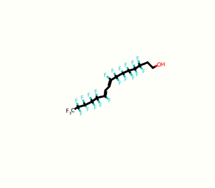 OCCC(F)(F)C(F)(F)C(F)(F)C(F)(F)C(F)(F)/C(F)=C/C=C(\F)C(F)(F)C(F)(F)C(F)(F)C(F)(F)C(F)(F)F